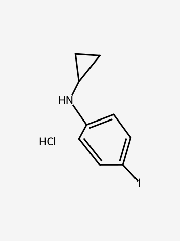 Cl.Ic1ccc(NC2CC2)cc1